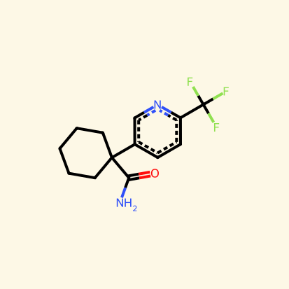 NC(=O)C1(c2ccc(C(F)(F)F)nc2)CCCCC1